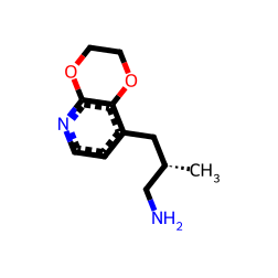 C[C@H](CN)Cc1ccnc2c1OCCO2